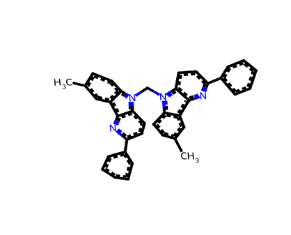 Cc1ccc2c(c1)c1nc(-c3ccccc3)ccc1n2Cn1c2ccc(C)cc2c2nc(-c3ccccc3)ccc21